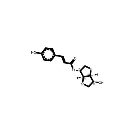 O=C(C=Cc1ccc(O)cc1)O[C@@H]1CO[C@@H]2[C@H]1OC[C@@H]2O